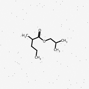 [CH2]C(CCC)C(=O)OCC(C)C